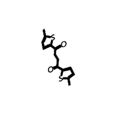 Cc1ccc(C(=O)CCC(=O)c2ccc(C)s2)s1